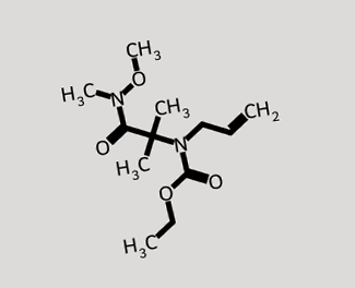 C=CCN(C(=O)OCC)C(C)(C)C(=O)N(C)OC